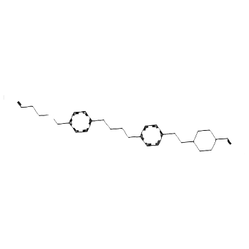 C=CCCOCc1ccc(CCCCc2ccc(CCC3CCC(C=C)CC3)cc2)cc1